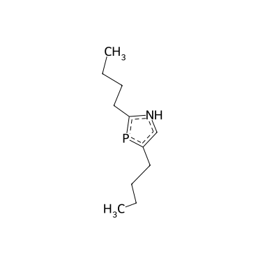 CCCCc1c[nH]c(CCCC)p1